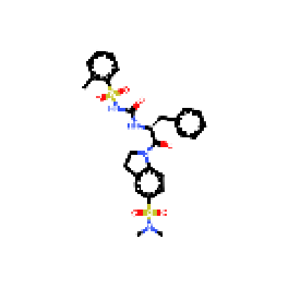 Cc1ccccc1S(=O)(=O)NC(=O)N[C@@H](Cc1ccccc1)C(=O)N1CCc2cc(S(=O)(=O)N(C)C)ccc21